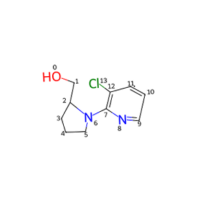 OCC1CCCN1c1ncc[c]c1Cl